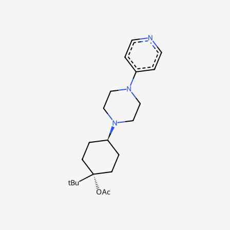 CC(=O)O[C@]1(C(C)(C)C)CC[C@@H](N2CCN(c3ccncc3)CC2)CC1